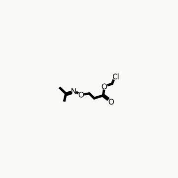 CC(C)=NOCCC(=O)OCCl